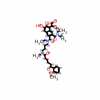 CCN(CC)C(=O)c1cc2c(C(=C=O)C=O)c(O)c(O)cc2cc1C(=O)N(CC)CCCCN(C)C(=O)CCCCC(=O)c1ccccc1OC